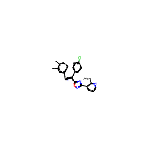 CNc1ncccc1-c1noc(/C(=C/c2ccc(C)c(C)c2)c2ccc(Cl)cc2)n1